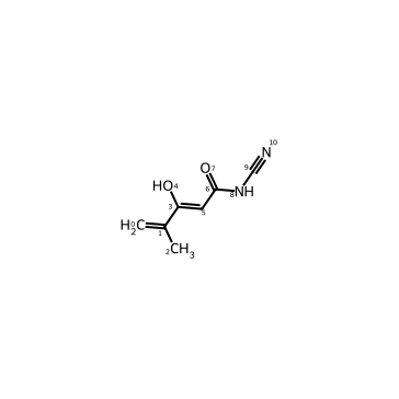 C=C(C)C(O)=CC(=O)NC#N